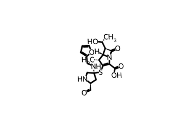 C[C@@H](O)[C@H]1C(=O)N2C(C(=O)O)=C(S[C@]3(NCc4ccco4)CN[C@H](C=O)C3)[C@H](C)[C@H]12